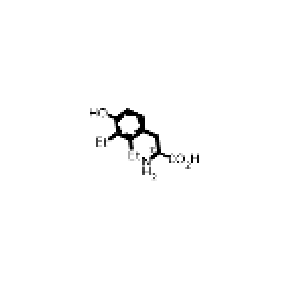 CCc1c(O)ccc(C[C@H](N)C(=O)O)c1CC